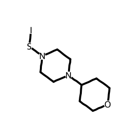 ISN1CCN(C2CCOCC2)CC1